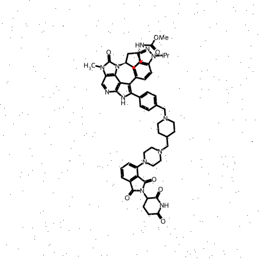 COC(=O)N[C@@H]1CC[C@@H](n2c(=O)n(C)c3cnc4[nH]c(-c5ccc(CN6CCC(CN7CCN(c8cccc9c8C(=O)N(C8CCC(=O)NC8=O)C9=O)CC7)CC6)cc5)c(-c5ccc6c(cnn6C(C)C)c5)c4c32)C1